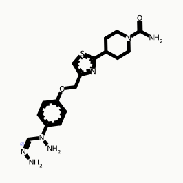 N/N=C\N(N)c1ccc(OCc2csc(C3CCN(C(N)=O)CC3)n2)cc1